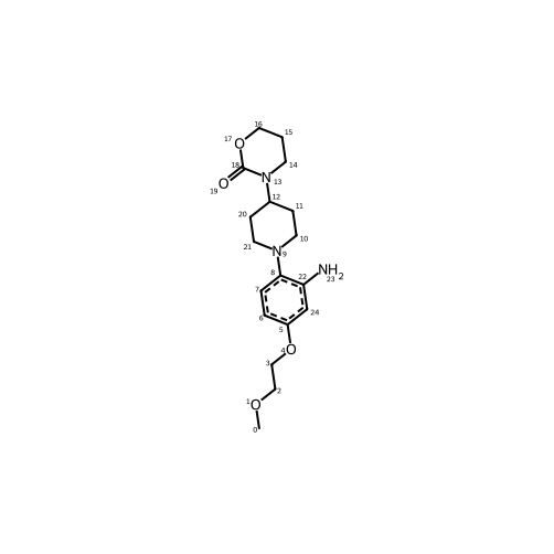 COCCOc1ccc(N2CCC(N3CCCOC3=O)CC2)c(N)c1